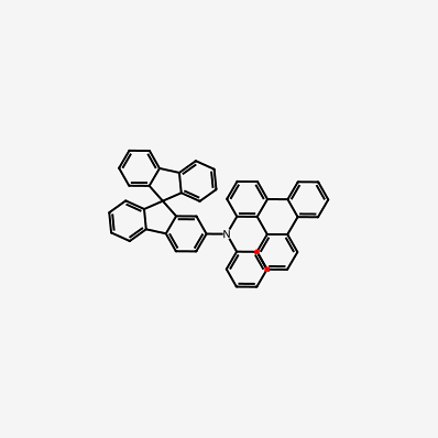 c1ccc(N(c2ccc3c(c2)C2(c4ccccc4-c4ccccc42)c2ccccc2-3)c2cccc3c4ccccc4c4ccccc4c23)cc1